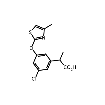 Cc1csc(Oc2cc(Cl)cc(C(C)C(=O)O)c2)n1